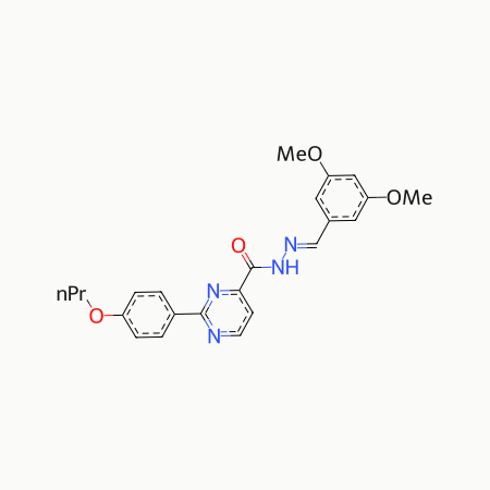 CCCOc1ccc(-c2nccc(C(=O)NN=Cc3cc(OC)cc(OC)c3)n2)cc1